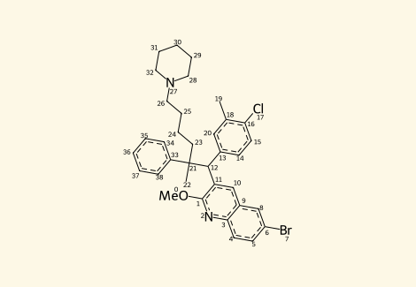 COc1nc2ccc(Br)cc2cc1C(c1ccc(Cl)c(C)c1)C(C)(CCCCN1CCCCC1)c1ccccc1